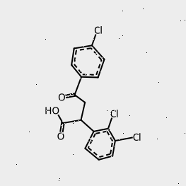 O=C(CC(C(=O)O)c1cccc(Cl)c1Cl)c1ccc(Cl)cc1